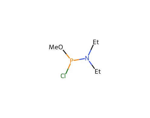 CCN(CC)P(Cl)OC